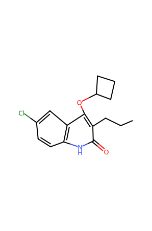 CCCc1c(OC2CCC2)c2cc(Cl)ccc2[nH]c1=O